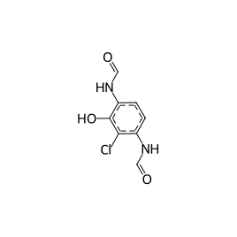 O=CNc1ccc(NC=O)c(Cl)c1O